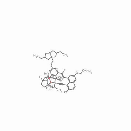 CCC1CN2CC(CC)CC2(COc2nc(N3C[C@H]4CC[C@@H](C3)N4C(=O)O)c3cnc(-c4cc(OCOC)cc5ccc(Cl)c(C#C[Si](C(C)C)(C(C)C)C(C)C)c45)c(F)c3n2)C1